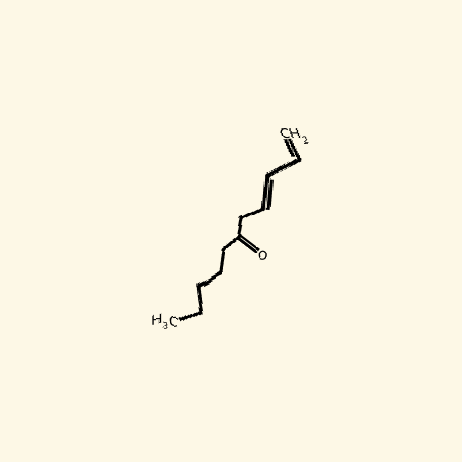 C=CC=CCC(=O)CCCCC